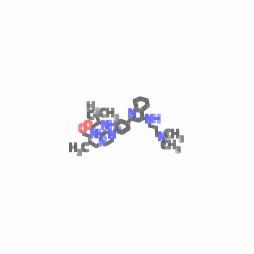 CC(C)C(N)C(=O)NC(C=O)[C@H](C)CN1CCN(c2ccc(-c3cc(NCCCN(C)C)c4ccccc4n3)cc2)CC1